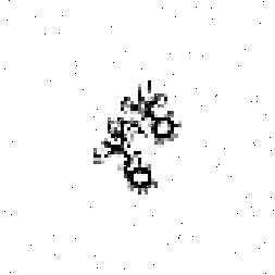 CC(Nc1ncc(Br)c(-c2cc3ccccc3s2)n1)N1C(=O)NC(=O)C1c1ccccc1